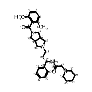 Cc1cccc(C)c1C(=O)N1CC2CN(CC[C@H](NC(=O)CN3CCCCC3)c3ccccc3)CC2C1